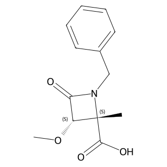 CO[C@@H]1C(=O)N(Cc2ccccc2)[C@]1(C)C(=O)O